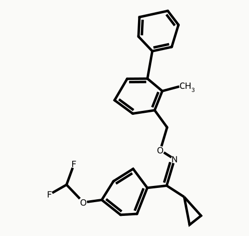 Cc1c(CON=C(c2ccc(OC(F)F)cc2)C2CC2)cccc1-c1ccccc1